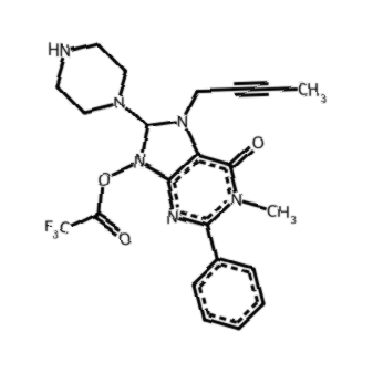 CC#CCN1c2c(nc(-c3ccccc3)n(C)c2=O)N(OC(=O)C(F)(F)F)C1N1CCNCC1